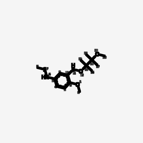 COc1ccc(NSC)cc1BOC(C)(C)C(C)(C)OC